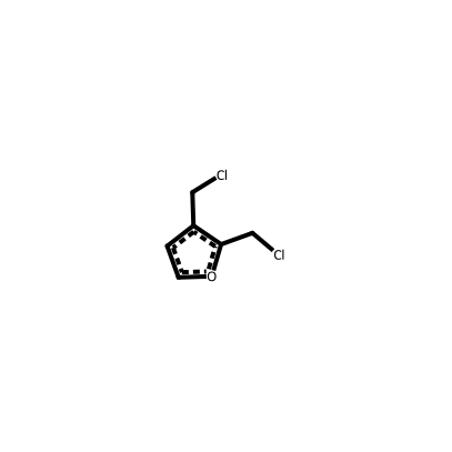 ClCc1ccoc1CCl